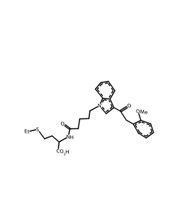 CCSCCC(NC(=O)CCCCn1cc(C(=O)Cc2ccccc2OC)c2ccccc21)C(=O)O